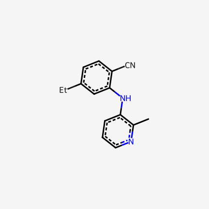 CCc1ccc(C#N)c(Nc2cccnc2C)c1